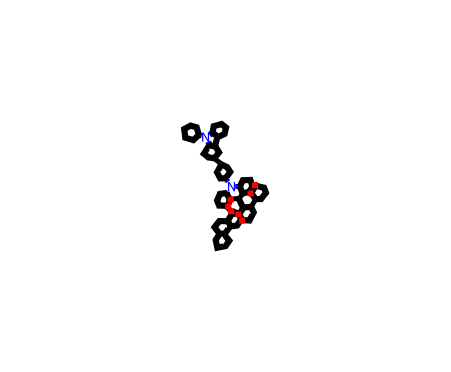 C1=c2cccc(-c3ccccc3)c2=C(c2ccccc2N(c2ccc(-c3ccc4c(c3)c3ccccc3n4-c3ccccc3)cc2)c2cccc(-c3cccc4c3ccc3ccccc34)c2)CC1